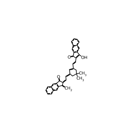 C=C1/C(=C/C=C2C=C(/C=C/C3=C(O)c4cc5ccccc5cc4C3=O)CC(C)(C)C/2)C(=O)c2cc3ccccc3cc21